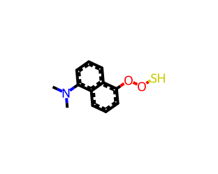 CN(C)c1cccc2c(OOS)cccc12